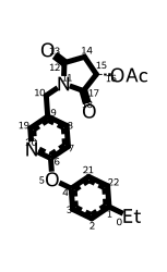 CCc1ccc(Oc2ccc(CN3C(=O)C[C@H](OC(C)=O)C3=O)cn2)cc1